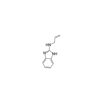 C=CCNc1nc2ccccc2[nH]1